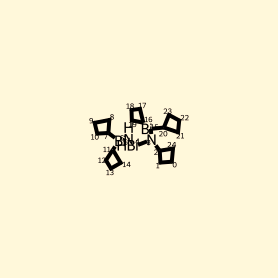 C1CC([N]([BiH][NH][Bi]([CH]2CCC2)[CH]2CCC2)[Bi]([CH]2CCC2)[CH]2CCC2)C1